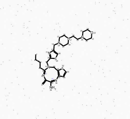 C=C1/N=C(/CCCC)N(Cc2nc(CN3CCN(CCN4CCOCC4)CC3)cs2)Cc2sccc2/N=C\1N